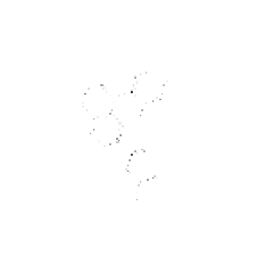 Cc1cc(F)cc(F)c1C1=CCCc2ccc(C(=O)N=C(N)N)cc21